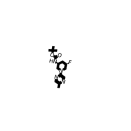 Cc1cnc(N2C[C@@H](F)C[C@H](NC(=O)OC(C)(C)C)C2)cn1